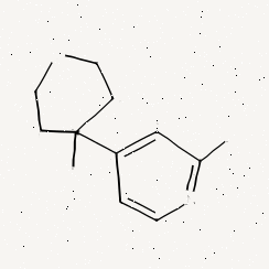 OC1(c2ccnc(F)c2)CCOCC1